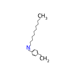 C=Cc1ccc(/C=N\CCCCCCCCCCCC)cc1